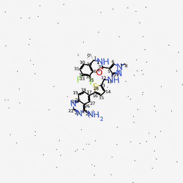 C[C@H](NC(=O)c1cn(C)nc1NCc1ccc(-c2ccc3ncnc(N)c3c2)s1)c1ccc(F)c(F)c1